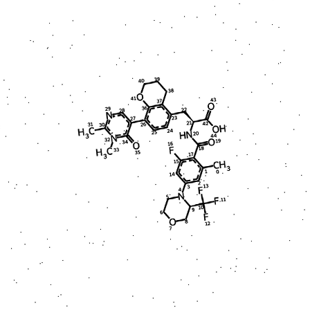 Cc1cc(N2CCOC[C@@H]2C(F)(F)F)cc(F)c1C(=O)N[C@@H](Cc1ccc(-c2cnc(C)n(C)c2=O)c2c1CCCO2)C(=O)O